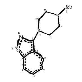 CC(C)(C)N1CCN(c2nsc3ccccc23)CC1